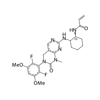 C=CC(=O)N[C@H]1CCCCC1Nc1ncc2c(n1)N(C)C(=O)N(c1c(F)c(OC)cc(OC)c1F)C2